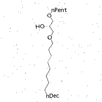 CCCCCCCCCCCCCCCCCCOC[C@H](O)COCCCCC